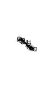 CC(=O)OC(C)OC(=O)NCCCC(=O)Oc1ccc(Cl)cc1